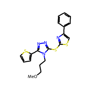 COCCCn1c(Sc2nc(-c3ccccc3)cs2)nnc1-c1cccs1